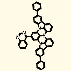 c1ccc(-c2ccc3c(c2)c2cccc4c2n3-c2cc(-c3ncnc5ccccc35)cc3c2B4c2cccc4c5cc(-c6ccccc6)ccc5n-3c24)cc1